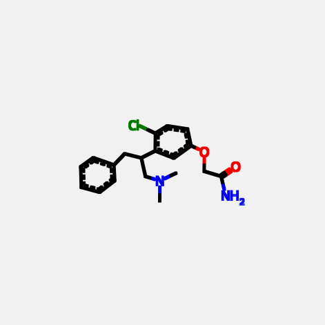 CN(C)CC(Cc1ccccc1)c1cc(OCC(N)=O)ccc1Cl